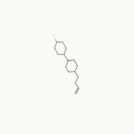 C=CCCC1CCC(C2CCC(F)CC2)CC1